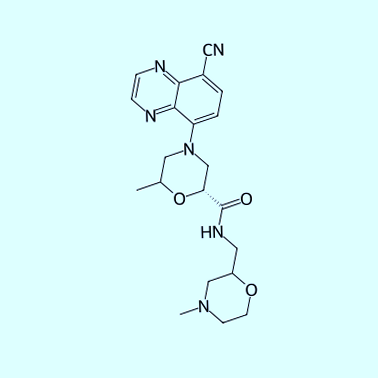 CC1CN(c2ccc(C#N)c3nccnc23)C[C@H](C(=O)NCC2CN(C)CCO2)O1